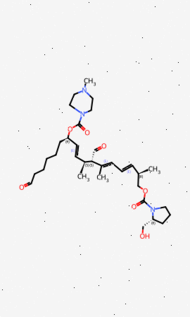 C/C(=C\C=C\[C@@H](C)COC(=O)N1CCC[C@@H]1CO)[C@@H](C=O)[C@@H](C)/C=C/[C@@H](CCCCCC=O)OC(=O)N1CCN(C)CC1